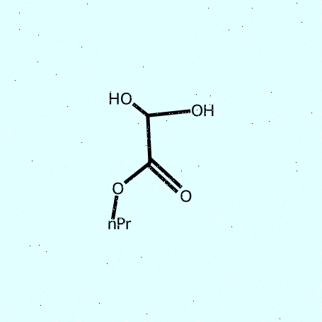 CCCOC(=O)C(O)O